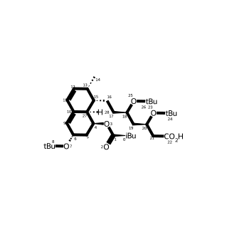 CC[C@H](C)C(=O)O[C@H]1C[C@H](OC(C)(C)C)C=C2C=C[C@H](C)[C@H](CC[C@H](C[C@H](CC(=O)O)OC(C)(C)C)OC(C)(C)C)[C@H]21